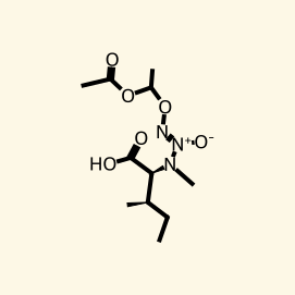 CC[C@@H](C)[C@@H](C(=O)O)N(C)/[N+]([O-])=N/OC(C)OC(C)=O